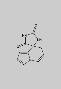 O=C1NC(=O)C2(CC=Cn3cccc32)N1